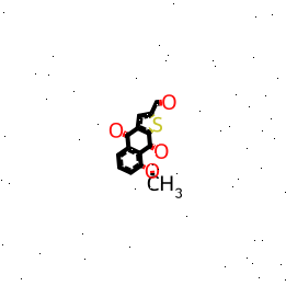 COc1cccc2c1C(=O)c1sc(C=O)cc1C2=O